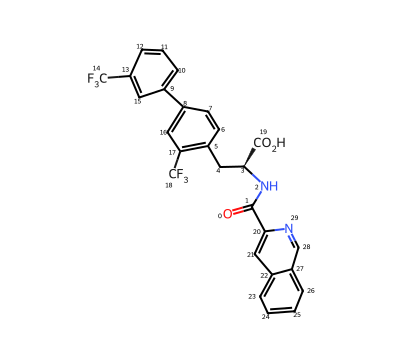 O=C(N[C@@H](Cc1ccc(-c2cccc(C(F)(F)F)c2)cc1C(F)(F)F)C(=O)O)c1cc2ccccc2cn1